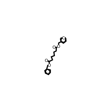 O=C(CCCCCC(=O)OCc1ccccc1)OCc1ccccc1